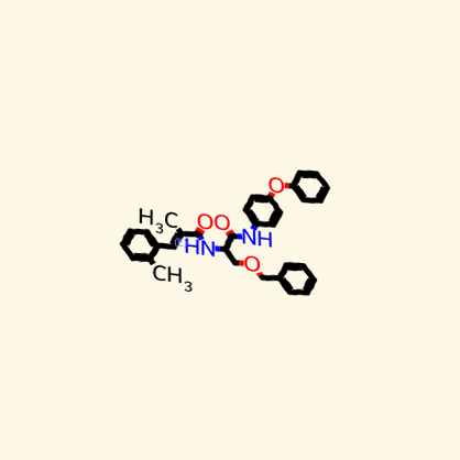 C/C(=C\c1ccccc1C)C(=O)NC(COCc1ccccc1)C(=O)Nc1ccc(Oc2ccccc2)cc1